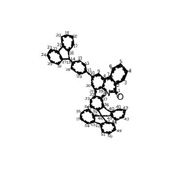 O=c1c2ccccc2c2cc(-c3ccc(C4c5ccccc5-c5ccccc54)cc3)cc3c4ccc5c(c4n1c23)-c1ccccc1C51c2ccccc2-c2ccccc21